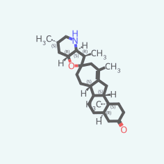 CC1=C2C[C@H]3C(CC[C@@H]4CC(=O)CC[C@@]43C)[C@@H]2CCC2(C1)O[C@@H]1C[C@H](C)CN[C@H]1[C@H]2C